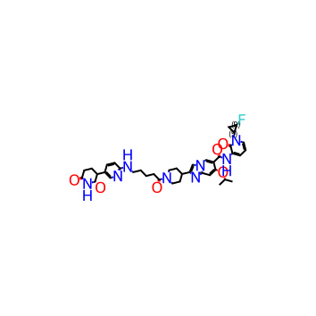 CC(C)Oc1cc2nc(C3CCN(C(=O)CCCCNc4ccc(C5CCC(=O)NC5=O)cn4)CC3)cn2cc1C(=O)Nc1cccn([C@H]2C[C@H]2F)c1=O